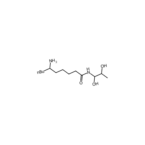 CCCCC(N)CCCCC(=O)NC(O)C(C)O